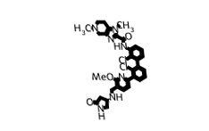 COc1nc(-c2cccc(-c3cccc(NC(=O)c4nc5c(n4C)CCN(C)C5)c3Cl)c2Cl)ccc1CN[C@@H]1CNC(=O)C1